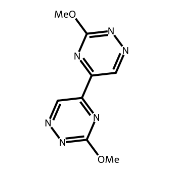 COc1nncc(-c2cnnc(OC)n2)n1